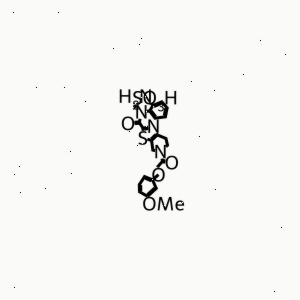 COc1cccc(OCC(=O)N2CCc3nc(C(=O)N(CS(=O)(=O)O)c4ccccc4N)sc3C2)c1